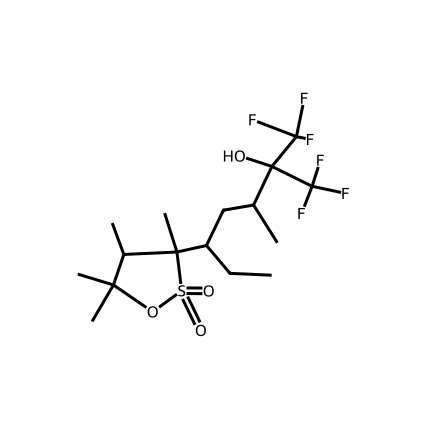 CCC(CC(C)C(O)(C(F)(F)F)C(F)(F)F)C1(C)C(C)C(C)(C)OS1(=O)=O